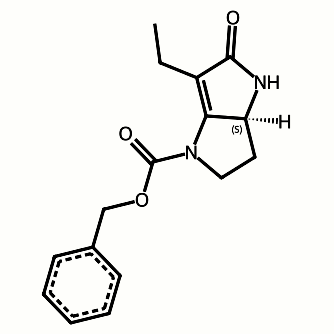 CCC1=C2[C@H](CCN2C(=O)OCc2ccccc2)NC1=O